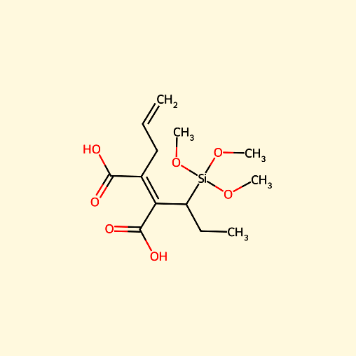 C=CC/C(C(=O)O)=C(/C(=O)O)C(CC)[Si](OC)(OC)OC